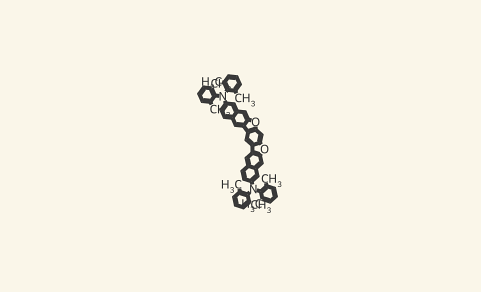 Cc1cccc(C)c1N(c1ccc2cc3c(cc2c1)oc1cc2oc4cc5cc(N(c6c(C)cccc6C)c6c(C)cccc6C)ccc5cc4c2cc13)c1c(C)cccc1C